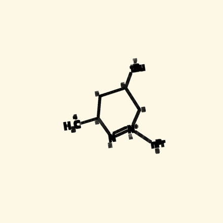 CCC[N+]1=NC(C)CC(C(C)(C)C)C1